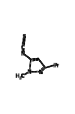 CC(C)c1cc(N=C=S)n(C)n1